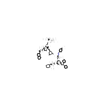 CC1CC(C)CC(CN2CC[C@@H](CNC(=O)c3ccc4ccccc4c3)N[C@@H](CCCNC(=N)N)C2=O)C1.O=C(/C=C/c1ccc(Cl)cc1)NC[C@@H]1CCN(CC(c2ccccc2)c2ccccc2)C(=O)[C@H](CCNC(=O)C2CCCCC2)N1